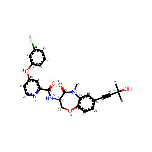 CN1C(=O)[C@H](NC(=O)c2cc(Oc3cccc(F)c3)ccn2)COc2ccc(C#CC(C)(C)O)cc21